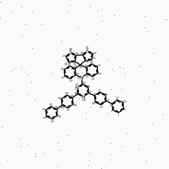 c1ccc(-c2ccc(-c3cc(N4c5ccccc5C5(c6ccccc64)c4ccsc4-c4sccc45)nc(-c4ccc(-c5ccccc5)cc4)n3)cc2)cc1